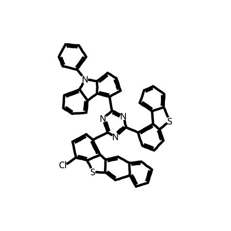 Clc1ccc(-c2nc(-c3cccc4sc5ccccc5c34)nc(-c3cccc4c3c3ccccc3n4-c3ccccc3)n2)c2c1sc1cc3ccccc3cc12